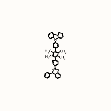 Cc1c(C)c(-c2ccc(-n3c4ccccc4c4ccccc43)cc2)c(C)c(C)c1-c1ccc(-c2nc(-c3ccccc3)c3ccccc3n2)cc1